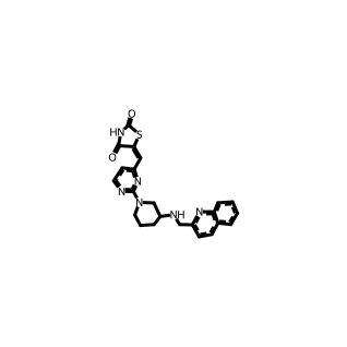 O=C1NC(=O)/C(=C\c2ccnc(N3CCCC(NCc4ccc5ccccc5n4)C3)n2)S1